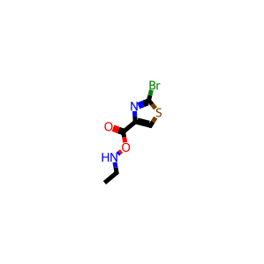 CCNOC(=O)c1csc(Br)n1